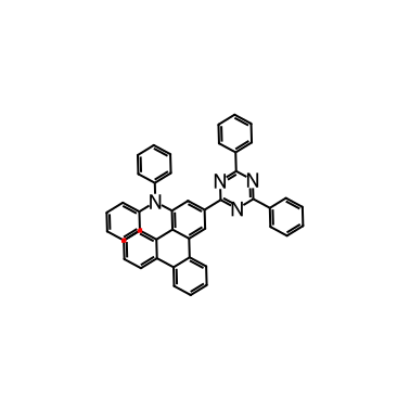 c1ccc(-c2nc(-c3ccccc3)nc(-c3cc(N(c4ccccc4)c4ccccc4)c4c5ccccc5c5ccccc5c4c3)n2)cc1